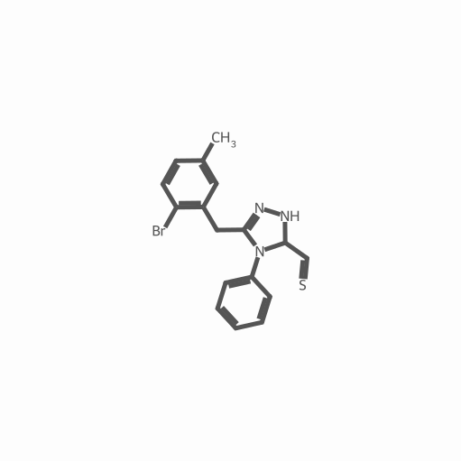 Cc1ccc(Br)c(CC2=NNC(C=S)N2c2ccccc2)c1